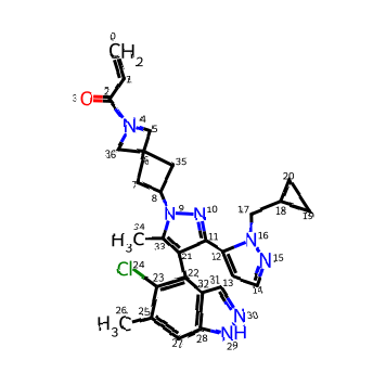 C=CC(=O)N1CC2(CC(n3nc(-c4ccnn4CC4CC4)c(-c4c(Cl)c(C)cc5[nH]ncc45)c3C)C2)C1